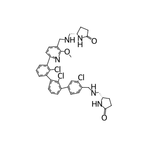 COc1nc(-c2cccc(-c3cccc(-c4ccc(CNC[C@@H]5CCC(=O)N5)c(Cl)c4)c3Cl)c2Cl)ccc1CNC[C@@H]1CCC(=O)N1